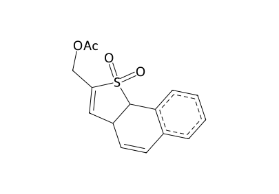 CC(=O)OCC1=CC2C=Cc3ccccc3C2S1(=O)=O